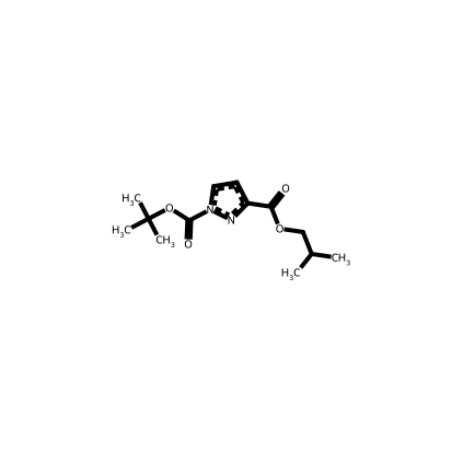 CC(C)COC(=O)c1ccn(C(=O)OC(C)(C)C)n1